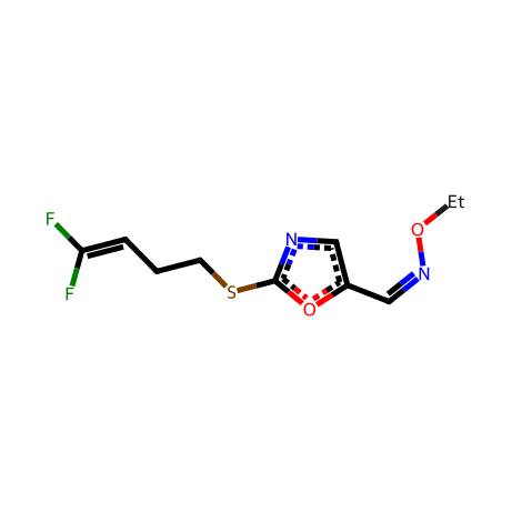 CCO/N=C\c1cnc(SCCC=C(F)F)o1